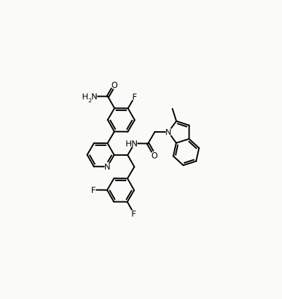 Cc1cc2ccccc2n1CC(=O)NC(Cc1cc(F)cc(F)c1)c1ncccc1-c1ccc(F)c(C(N)=O)c1